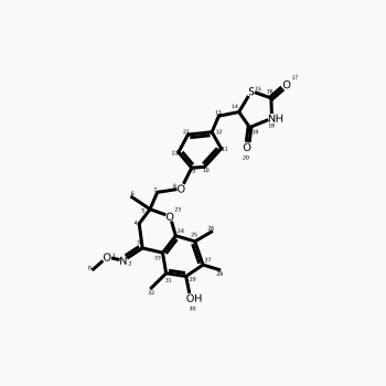 CON=C1CC(C)(COc2ccc(CC3SC(=O)NC3=O)cc2)Oc2c(C)c(C)c(O)c(C)c21